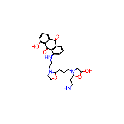 [NH]CCC1OC(O)CN1CCCC1OCCN1CCNc1cc[c]c2c1C(=O)c1c(O)cccc1C2=O